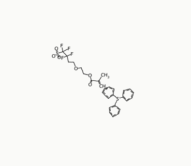 C=C(C)C(=O)OCCOCCC(F)(F)C(F)(F)S(=O)(=O)[O-].c1ccc([S+](c2ccccc2)c2ccccc2)cc1